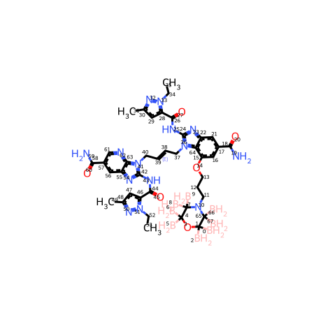 BC1(B)OC(B)(B)C(B)(B)N(CCCOc2cc(C(N)=O)cc3nc(NC(=O)c4cc(C)nn4CC)n(C/C=C/Cn4c(NC(=O)c5cc(C)nn5CC)nc5cc(C(N)=O)cnc54)c23)C1(B)B